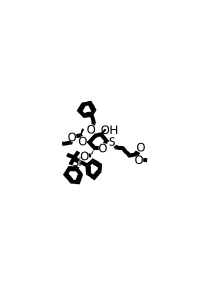 CCO[C@@H](C)O[C@@H]1[C@H](OCc2ccccc2)[C@@H](O)[C@H](SCCCC(=O)OC)O[C@@H]1CO[Si](c1ccccc1)(c1ccccc1)C(C)(C)C